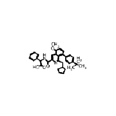 COc1ccc(-c2ccc(C(C)(C)C)cc2)c2c(CC3CCCC3)nc(C(=O)NC(C(=O)O)c3ccccc3)cc12